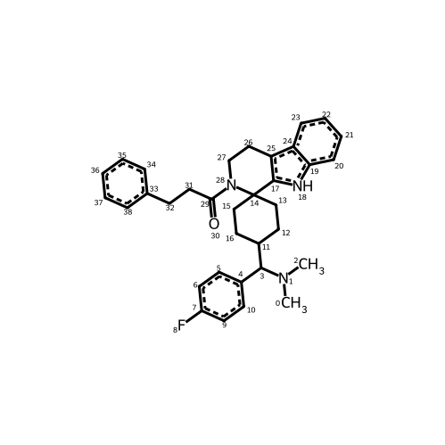 CN(C)C(c1ccc(F)cc1)C1CCC2(CC1)c1[nH]c3ccccc3c1CCN2C(=O)CCc1ccccc1